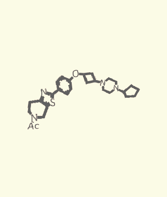 CC(=O)N1CCc2nc(-c3ccc(OC4CC(N5CCN(C6CCCC6)CC5)C4)cc3)sc2C1